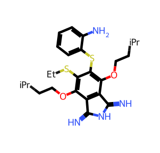 CCSc1c(OCCC(C)C)c2c(c(OCCC(C)C)c1Sc1ccccc1N)C(=N)NC2=N